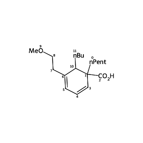 CCCCCC1(C(=O)O)C=CC=C(CCOC)C1CCCC